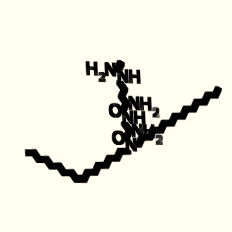 C=C(N)NCCCC(N)C(=O)NCC(N)C(=O)N(CCCCCCCC/C=C\CCCCCCCC)CCCCCCCCCCCCCCCC